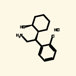 Cl.NCC(c1ccccc1Cl)[C@@H]1CCCC[C@@H]1O